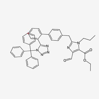 CCCn1c(Cc2ccc(-c3ccccc3-c3nnnn3C(c3ccccc3)(c3ccccc3)c3ccccc3)cc2)nc(C=O)c1C(=O)OCC